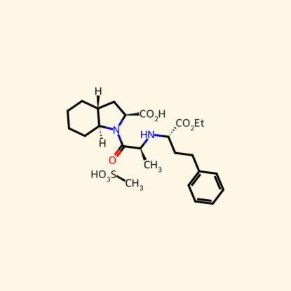 CCOC(=O)[C@H](CCc1ccccc1)N[C@@H](C)C(=O)N1[C@H](C(=O)O)C[C@H]2CCCC[C@@H]21.CS(=O)(=O)O